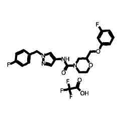 O=C(Nc1cnn(Cc2ccc(F)cc2)c1)N1CCOC(COc2cccc(F)c2)C1.O=C(O)C(F)(F)F